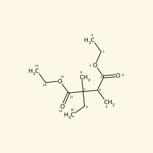 CCOC(=O)C(C)C(C)(CC)C(=O)OCC